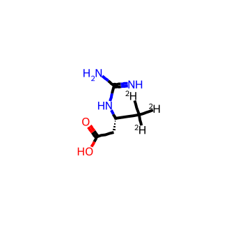 [2H]C([2H])([2H])[C@H](CC(=O)O)NC(=N)N